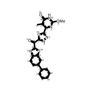 COc1nc(-c2nnc(C(=O)c3nc4ccc(-c5ccccc5)cc4s3)o2)c(C)c(=O)[nH]1